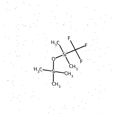 C[Si](C)(C)O[Si](C)(C)C(F)(F)F